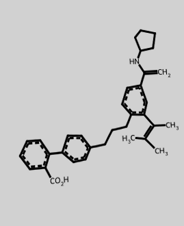 C=C(NC1CCCC1)c1ccc(CCCc2ccc(-c3ccccc3C(=O)O)cc2)c(C(C)=C(C)C)c1